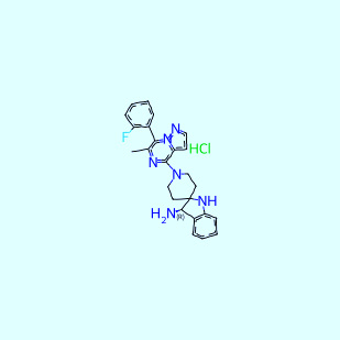 Cc1nc(N2CCC3(CC2)Nc2ccccc2[C@H]3N)c2ccnn2c1-c1ccccc1F.Cl